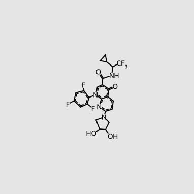 O=C(NC(C1CC1)C(F)(F)F)c1cn(-c2c(F)cc(F)cc2F)c2nc(N3CC(O)C(O)C3)ccc2c1=O